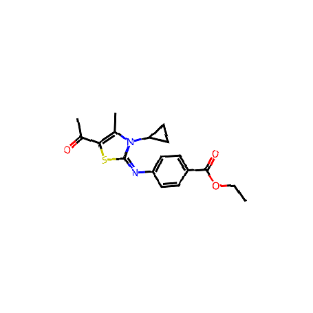 CCOC(=O)c1ccc(N=c2sc(C(C)=O)c(C)n2C2CC2)cc1